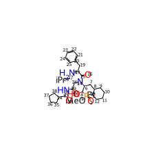 CCP(=O)(OC)C(O)[C@H](CC1CCCCC1)N(C(=O)[C@@H](N)Cc1ccccc1)[C@@H](CC(C)C)C(=O)NC(=O)C1CCCC1